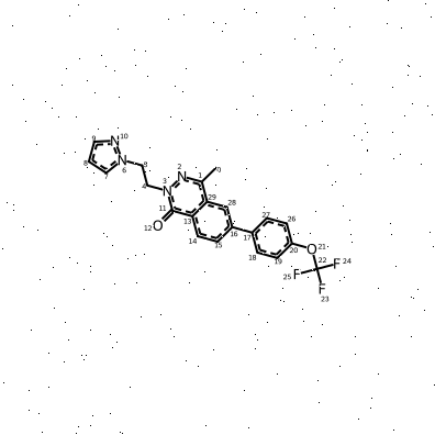 Cc1nn(CCn2cccn2)c(=O)c2ccc(-c3ccc(OC(F)(F)F)cc3)cc12